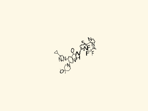 COC1(C)CCN(c2cnc(C(=O)Nc3csc(-c4nccn4[C@@H](C)C(F)(F)F)n3)cc2-n2cnc(C3CC3)c2)CC1